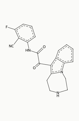 N#Cc1c(F)cccc1NC(=O)C(=O)c1c2n(c3ccccc13)CCNCC2